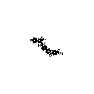 O=C(O)c1ccc(C(=O)N2CCC(c3ccc(NC(=O)c4cn(-c5ccc(F)cc5)nc4C(F)(F)F)cc3)CC2)cc1